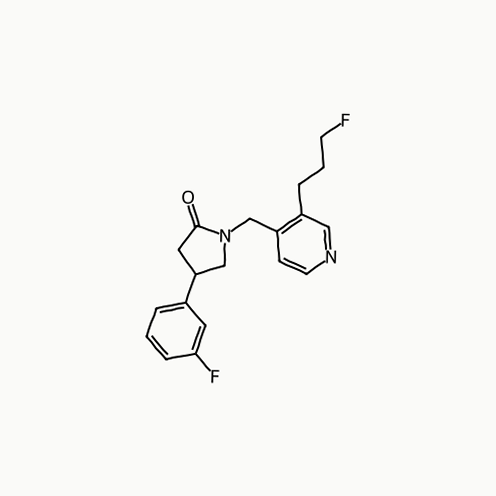 O=C1CC(c2cccc(F)c2)CN1Cc1ccncc1CCCF